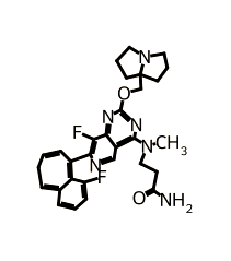 CN(CCC(N)=O)c1nc(OCC23CCCN2CCC3)nc2c(F)c(C3=c4c(F)cccc4=CCC=C3)ncc12